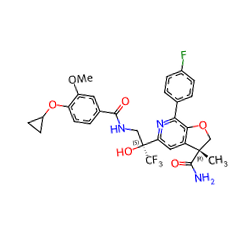 COc1cc(C(=O)NC[C@](O)(c2cc3c(c(-c4ccc(F)cc4)n2)OC[C@]3(C)C(N)=O)C(F)(F)F)ccc1OC1CC1